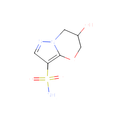 NS(=O)(=O)c1cnn2c1OCC(O)C2